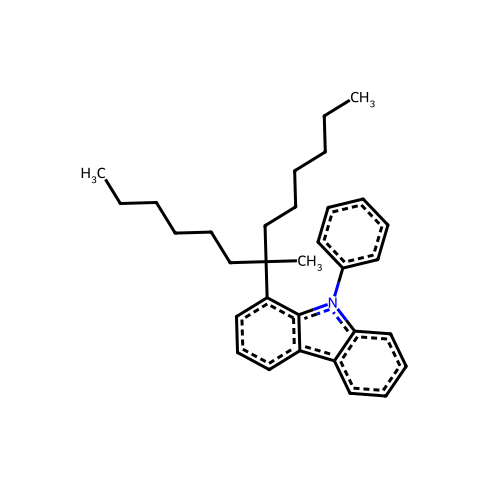 CCCCCCC(C)(CCCCCC)c1cccc2c3ccccc3n(-c3ccccc3)c12